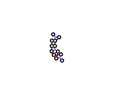 c1ccc(-c2ccc(-c3ccccc3N(c3ccc(-c4ccc5c(c4)c4ccccc4n5-c4ccccc4)cc3)c3cccc4c3-c3ccccc3C43c4ccccc4N(c4ccccc4)c4ccccc43)cc2)cc1